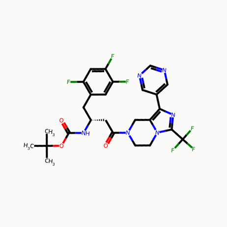 CC(C)(C)OC(=O)N[C@@H](CC(=O)N1CCn2c(C(F)(F)F)nc(-c3cncnc3)c2C1)Cc1cc(F)c(F)cc1F